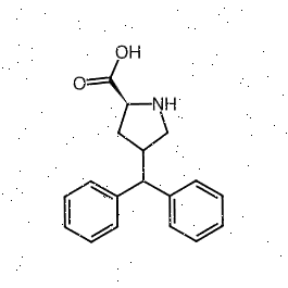 O=C(O)[C@@H]1CC(C(c2ccccc2)c2ccccc2)CN1